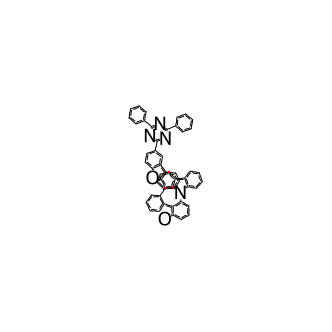 c1ccc(-c2nc(-c3ccccc3)nc(-c3ccc4oc5c(-c6cccc7oc8cccc(-n9c%10ccccc%10c%10ccccc%109)c8c67)cccc5c4c3)n2)cc1